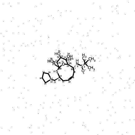 CC(C)(C)[S+]([O-])N[C@@H]1CC=CC[C@@H](CN2CCCC2)S[C@H]2O[C@H]1[C@H](O)[C@H](O)[C@H]2O